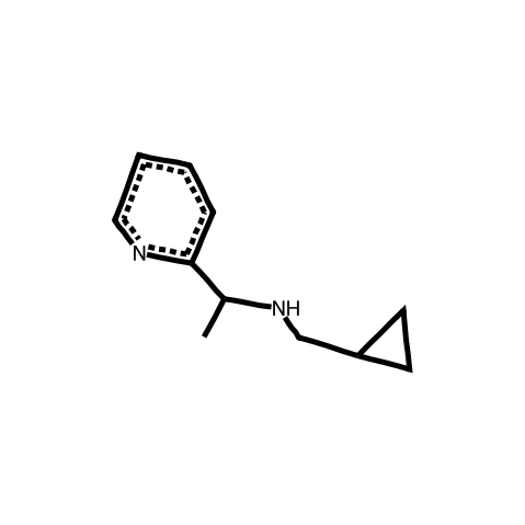 CC(NCC1CC1)c1ccccn1